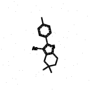 CC(=O)c1c(-c2ccc(C)cc2)sc2c1CC(C)(C)CC2